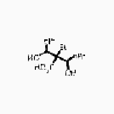 CCCC(O)C(CC)(C(=O)O)C(O)CCC